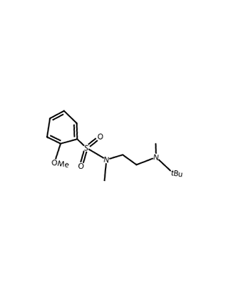 COc1ccccc1S(=O)(=O)N(C)CCN(C)C(C)(C)C